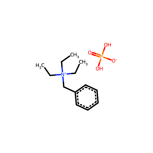 CC[N+](CC)(CC)Cc1ccccc1.O=P([O-])(O)O